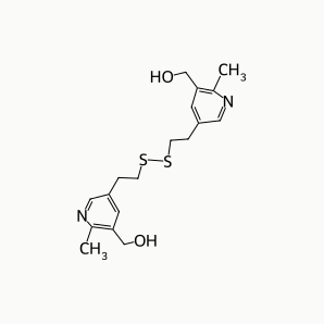 Cc1ncc(CCSSCCc2cnc(C)c(CO)c2)cc1CO